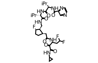 CC(C)[C@H](NC(=O)[C@H](NC(=O)c1cnccn1)C(C)C)C(=O)NC[C@H]1[C@@H](CC(=O)NC(CC(F)F)C(=O)C(=O)NC2CC2)CC[C@@H]1F